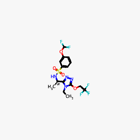 CCn1c(OCC(F)(F)F)nnc1[C@@H](C)NS(=O)(=O)c1cccc(OC(F)F)c1